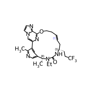 CCN1C(=O)N[C@@H](CCC(F)(F)F)C/C=C/CCOc2nc(cn3ccnc23)-c2cc(cnc2C)[C@H]1C